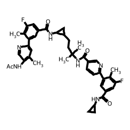 CC(=O)Nc1cnc(-c2cc(C(=O)NC3CC3CCC(C)(C)NC(=O)c3ccc(-c4cc(C(=O)NC5CC5)cc(F)c4C)nc3)cc(F)c2C)cc1C